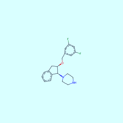 Fc1cc(F)cc(CO[C@@H]2Cc3ccccc3[C@@H]2N2CCNCC2)c1